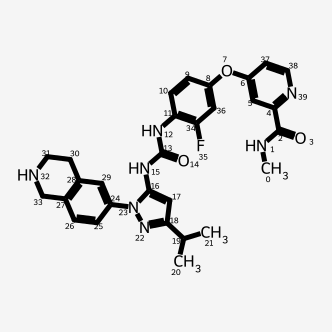 CNC(=O)c1cc(Oc2ccc(NC(=O)Nc3cc(C(C)C)nn3-c3ccc4c(c3)CCNC4)c(F)c2)ccn1